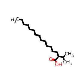 CCCCCCCCCCCCCCC(C(=O)O)C(C)C